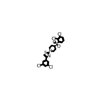 O=S(=O)(c1cccc(Cl)c1Cl)C1CCN(c2nc(-c3cc(Cl)cc(Cl)c3)cs2)CC1